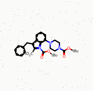 CC(C)(C)OC(=O)N1CCN(c2cccc3c(Cc4ccccc4)c(C(=O)O)n(C(=O)OC(C)(C)C)c23)CC1